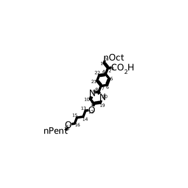 CCCCCCCCC=C(C(=O)O)c1ccc(-c2ncc(OCCCCOCCCCC)cn2)cc1